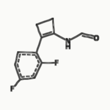 O=CNC1=C(c2ccc(F)cc2F)CC1